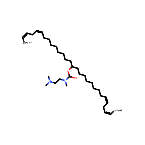 CCCCC/C=C\C/C=C\CCCCCCCCC(CCCCCCCC/C=C\C/C=C\CCCCC)OC(O)N(C)CCN(C)C